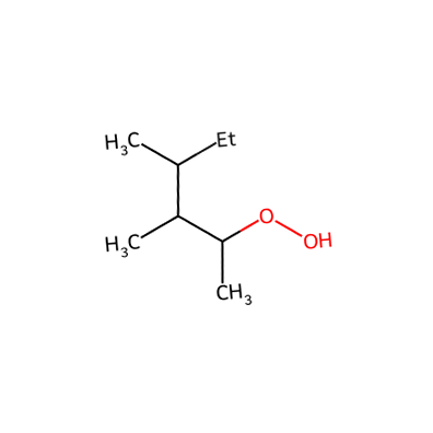 CCC(C)C(C)C(C)OO